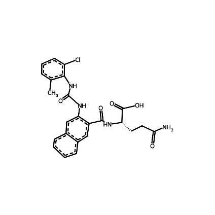 Cc1cccc(Cl)c1NC(=O)Nc1cc2ccccc2cc1C(=O)N[C@@H](CCC(N)=O)C(=O)O